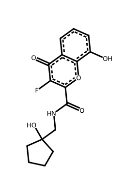 O=C(NCC1(O)CCCC1)c1oc2c(O)cccc2c(=O)c1F